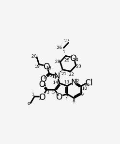 CCOC(=O)c1oc2ccc(Cl)nc2c1N(C(=O)OCC)[C@H]1CCO[C@@H](CC)C1